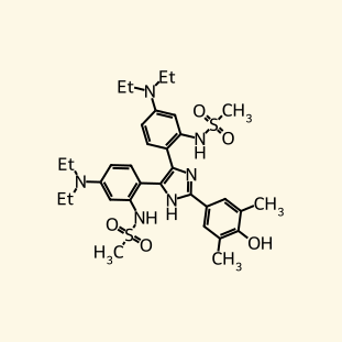 CCN(CC)c1ccc(-c2nc(-c3cc(C)c(O)c(C)c3)[nH]c2-c2ccc(N(CC)CC)cc2NS(C)(=O)=O)c(NS(C)(=O)=O)c1